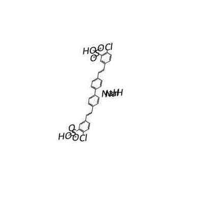 O=S(=O)(O)c1cc(/C=C/c2ccc(-c3ccc(/C=C/c4ccc(Cl)c(S(=O)(=O)O)c4)cc3)cc2)ccc1Cl.[NaH].[NaH]